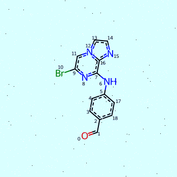 O=Cc1ccc(Nc2nc(Br)cn3ccnc23)cc1